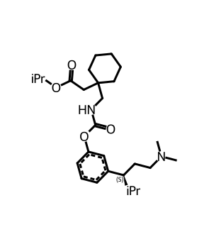 CC(C)OC(=O)CC1(CNC(=O)Oc2cccc([C@@H](CCN(C)C)C(C)C)c2)CCCCC1